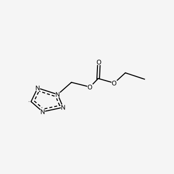 CCOC(=O)OCn1n[c]nn1